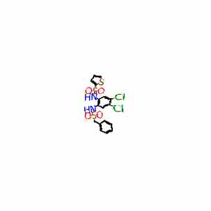 O=S(=O)(Cc1ccccc1)Nc1cc(Cl)c(Cl)cc1NS(=O)(=O)c1cccs1